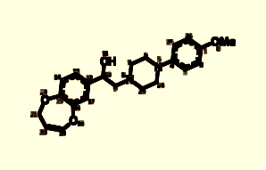 COc1ccc(N2CCN(CC(O)c3ccc4c(c3)OC=CCO4)CC2)cc1